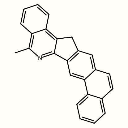 Cc1nc2c(c3ccccc13)Cc1cc3ccc4ccccc4c3cc1-2